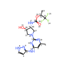 Cc1cc(Nc2cc[nH]n2)nc(N2C[C@@H](O)[C@H](NC(=O)O[C@@H](C)C(F)(F)F)C2)n1